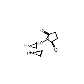 C1CN1.C1CN1.O=C1CCC(=O)N1O